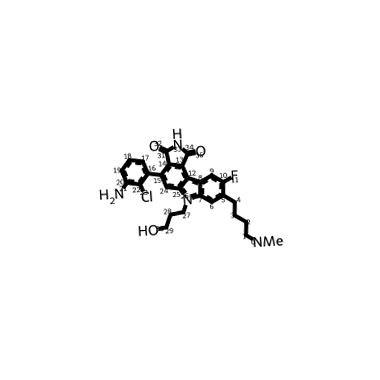 CNCCCCc1cc2c(cc1F)c1c3c(c(-c4cccc(N)c4Cl)cc1n2CCCO)C(=O)NC3=O